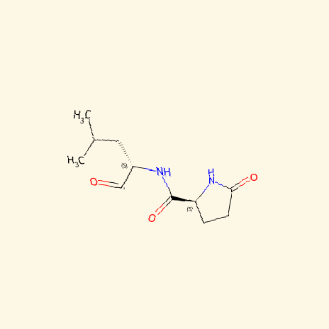 CC(C)C[C@@H]([C]=O)NC(=O)[C@@H]1CCC(=O)N1